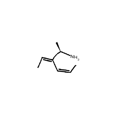 C/C=C\C(=C/C)[C@@H](C)N